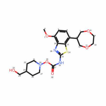 COc1ccc(C2COCCOC2)c2sc(NC(=O)ON3CCC(CO)CC3)nc12